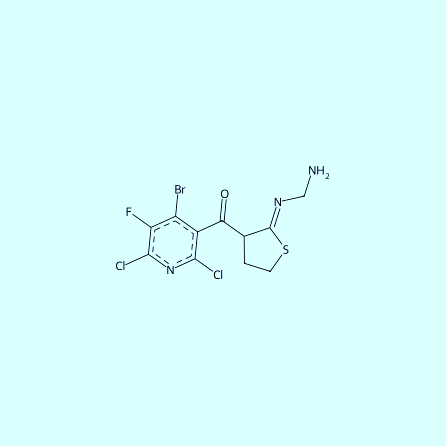 NCN=C1SCCC1C(=O)c1c(Cl)nc(Cl)c(F)c1Br